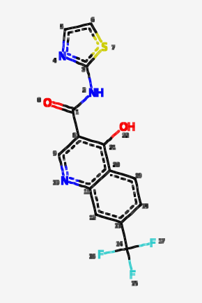 O=C(Nc1nccs1)c1cnc2cc(C(F)(F)F)ccc2c1O